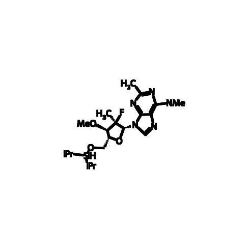 CNc1nc(C)nc2c1ncn2[C@@H]1O[C@H](CO[SiH](C(C)C)C(C)C)[C@@H](OC)[C@@]1(C)F